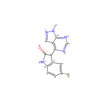 Cn1ncc2c(C3C(=O)Nc4ccc(Br)cc43)ncnc21